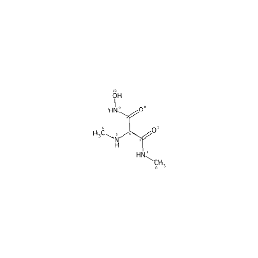 CNC(=O)C(NC)C(=O)NO